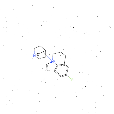 Fc1cc2c3c(c1)CCC[N+]3(C1CN3CCC1CC3)C=[C]2